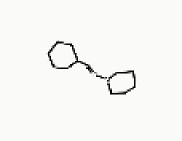 C(=NN1CCCCC1)C1CCCCC1